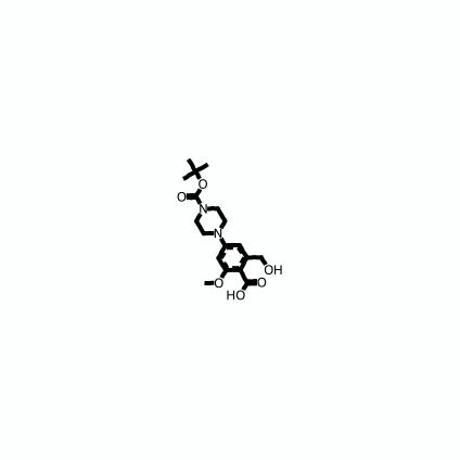 COc1cc(N2CCN(C(=O)OC(C)(C)C)CC2)cc(CO)c1C(=O)O